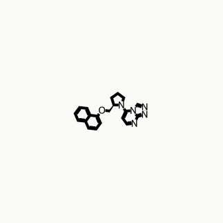 c1ccc2c(OC[C@H]3CCCN3c3ccnc4nncn34)cccc2c1